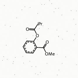 COC(=O)c1ccccc1OC(=O)C(C)C